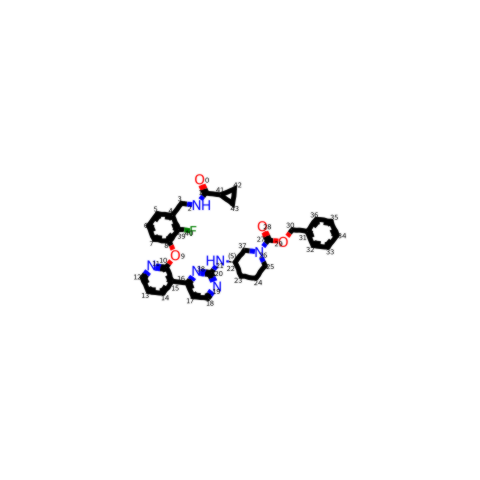 O=C(NCc1cccc(Oc2ncccc2-c2ccnc(N[C@H]3CCCN(C(=O)OCc4ccccc4)C3)n2)c1F)C1CC1